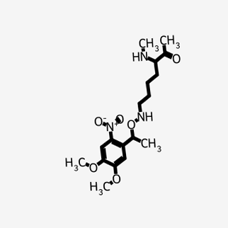 CNC(CCCCNOC(C)c1cc(OC)c(OC)cc1[N+](=O)[O-])C(C)=O